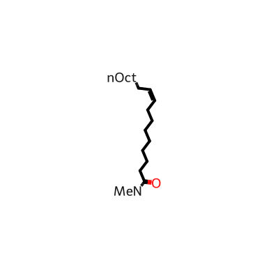 CCCCCCCCC/C=C\CCCCCCCC(=O)NC